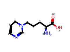 NC(CCCN1C=NC=CC1)C(=O)O